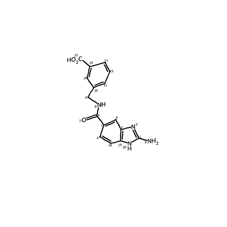 Nc1nc2cc(C(=O)NCc3cccc(C(=O)O)c3)ccc2[nH]1